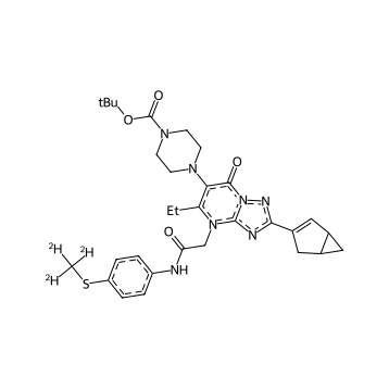 [2H]C([2H])([2H])Sc1ccc(NC(=O)Cn2c(CC)c(N3CCN(C(=O)OC(C)(C)C)CC3)c(=O)n3nc(C4=CC5CC5C4)nc23)cc1